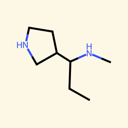 CCC(NC)C1CCNC1